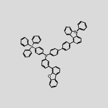 c1ccc(-n2c3ccccc3c3c(-c4ccc(-c5ccc(N(c6ccc([Si](c7ccccc7)(c7ccccc7)c7ccccc7)cc6)c6cccc(-c7cccc8c7oc7ccccc78)c6)cc5)cc4)cccc32)cc1